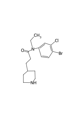 CCN(C(=O)CCC1CCNCC1)c1ccc(Br)c(Cl)c1